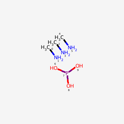 CN.CN.CN.OP(O)O